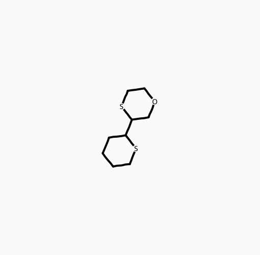 C1CCC(C2COCCS2)SC1